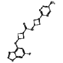 Cc1cnc(N2CC(NC(=O)C3CC(Oc4cc(F)cc5scnc45)C3)C2)nc1